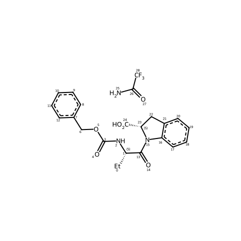 CC[C@H](NC(=O)OCc1ccccc1)C(=O)N1c2ccccc2C[C@H]1C(=O)O.NC(=O)C(F)(F)F